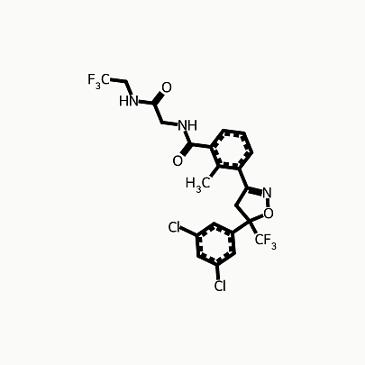 Cc1c(C(=O)NCC(=O)NCC(F)(F)F)cccc1C1=NOC(c2cc(Cl)cc(Cl)c2)(C(F)(F)F)C1